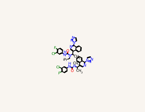 CC(C)CN(C(=O)Nc1ccc(F)c(Cl)c1)C(C)c1cnc(-n2ccnn2)c2ccccc12.CC(c1cnc(-n2ccnn2)c2ccccc12)N(C)C(=O)Nc1ccc(F)c(Cl)c1